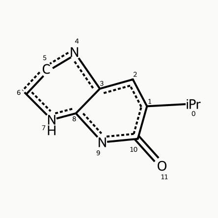 CC(C)c1cc2ncc[nH]c-2nc1=O